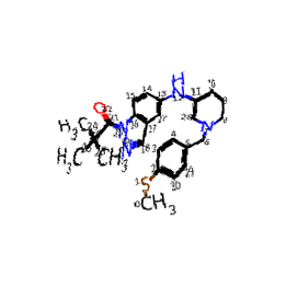 CSc1ccc(CN2CCCC(Nc3ccc4c(cnn4C(=O)C(C)(C)C)c3)C2)cc1